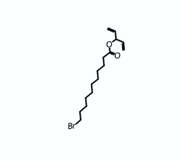 C=CC(C=C)OC(=O)CCCCCCCCCCBr